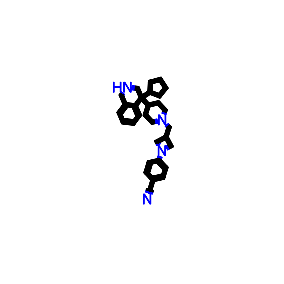 N#Cc1ccc(N2CC(CN3CCC(C4(C5CCCC5)CNCc5ccccc54)CC3)C2)cc1